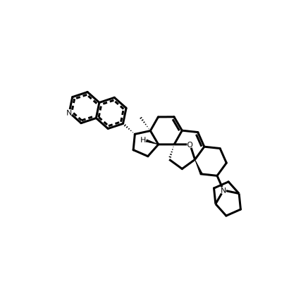 C[C@]12CC=C3C=C4CCC(N5C6CCC5CC6)C[C@]45CC[C@]3(O5)[C@@H]1CC[C@@H]2c1ccc2ccncc2c1